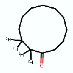 [2H]C1([2H])CCCCCCCCCC(=O)C1([2H])[2H]